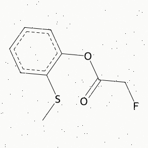 CSc1ccccc1OC(=O)CF